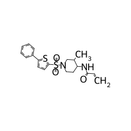 C=CC(=O)NC1CCN(S(=O)(=O)c2ccc(-c3ccccc3)s2)CC1C